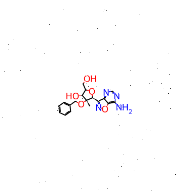 C[C@@]1(OCc2ccccc2)[C@H](O)C(CO)O[C@H]1c1noc2c(N)ncnc12